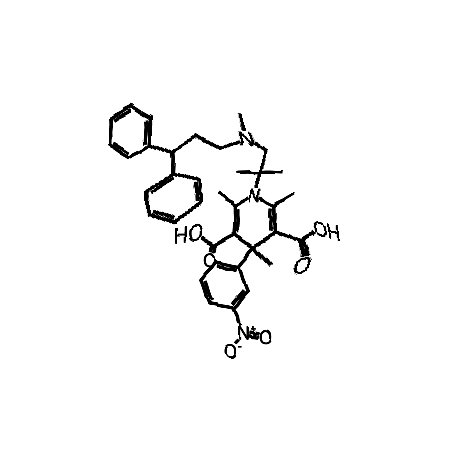 CC1=C(C(=O)O)C(C)(c2cccc([N+](=O)[O-])c2)C(C(=O)O)=C(C)N1C(C)(C)CN(C)CCC(c1ccccc1)c1ccccc1